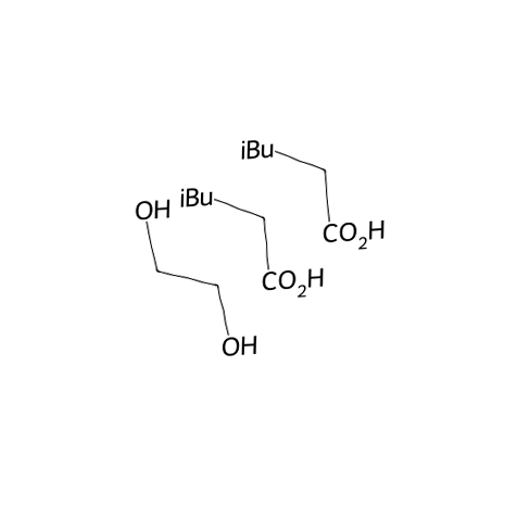 CCC(C)CC(=O)O.CCC(C)CC(=O)O.OCCO